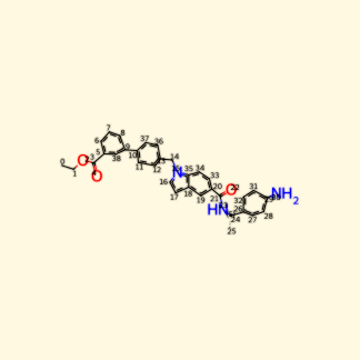 CCOC(=O)c1cccc(-c2ccc(Cn3ccc4cc(C(=O)N[C@@H](C)c5ccc(N)cc5)ccc43)cc2)c1